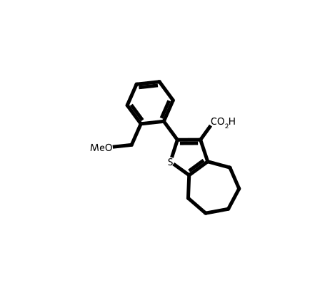 COCc1ccccc1-c1sc2c(c1C(=O)O)CCCCC2